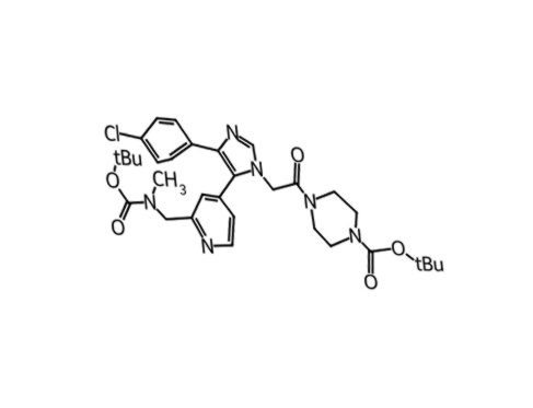 CN(Cc1cc(-c2c(-c3ccc(Cl)cc3)ncn2CC(=O)N2CCN(C(=O)OC(C)(C)C)CC2)ccn1)C(=O)OC(C)(C)C